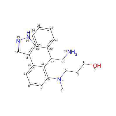 CN(CCCO)c1[c]ccc(-c2cn[nH]c2)c1C(CN)c1ccccc1